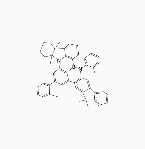 Cc1ccccc1-c1cc2c3c(c1)N1c4c(cccc4C4(C)CCCCC14C)B3N(c1ccccc1C)c1cc3c(cc1-2)C(C)(C)c1ccccc1-3